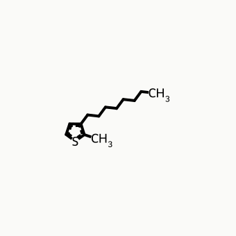 CCCCCCCCc1ccsc1C